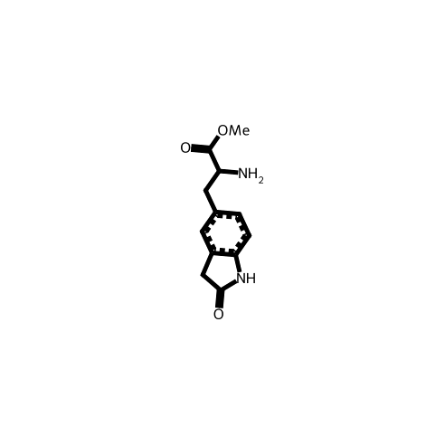 COC(=O)C(N)Cc1ccc2c(c1)CC(=O)N2